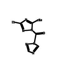 CCCCc1nc(CC)nn1C(=O)n1cncn1